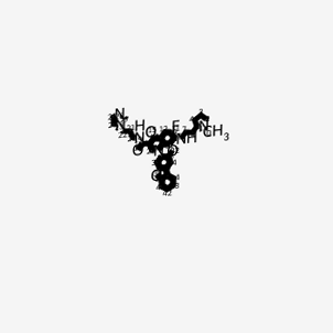 CN1CCCC1CCNc1c(F)cc2c(=O)c(C(=O)NCCCn3ccnc3)cn3c2c1Oc1cc2c(cc1-3)oc1ccccc12